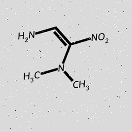 CN(C)C(=CN)[N+](=O)[O-]